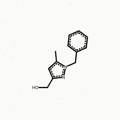 Cc1cc(CO)nn1Cc1ccccc1